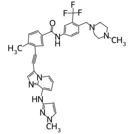 Cc1ccc(C(=O)Nc2ccc(CN3CCN(C)CC3)c(C(F)(F)F)c2)cc1C#Cc1cnc2c(Nc3ccn(C)n3)cccn12